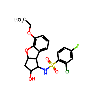 O=C(O)COc1cccc2c1OC1CC(O)C(NS(=O)(=O)c3ccc(F)cc3Cl)C21